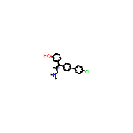 C/C(CN(C)C)=C(/c1ccc(-c2ccc(Cl)cc2)cc1)c1cccc(O)c1